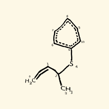 C=CC(C)Sc1ccccc1